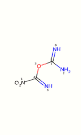 N=C(N)OC(=N)[N+](=O)[O-]